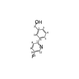 OCc1cccc(-c2ccc(F)cn2)c1